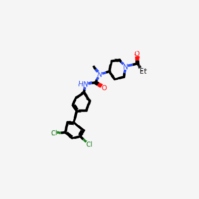 CCC(=O)N1CCC(N(C)C(=O)NC2CC=C(c3cc(Cl)cc(Cl)c3)CC2)CC1